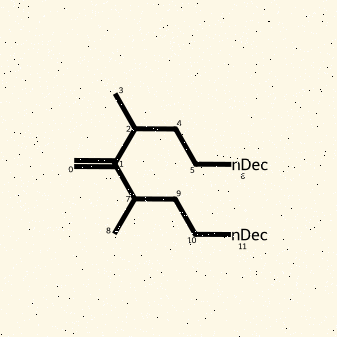 C=C(C(C)CCCCCCCCCCCC)C(C)CCCCCCCCCCCC